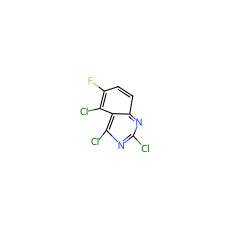 Fc1ccc2nc(Cl)nc(Cl)c2c1Cl